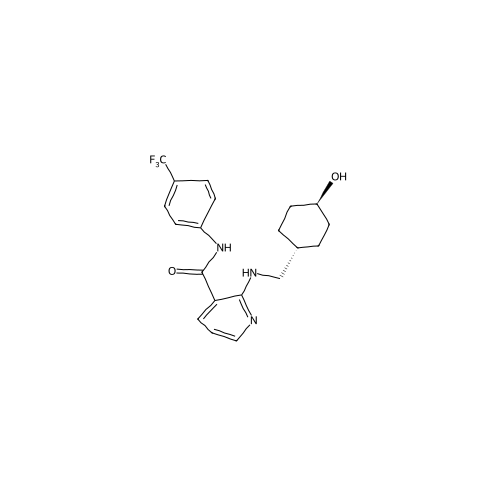 O=C(Nc1ccc(C(F)(F)F)cc1)c1cccnc1NC[C@H]1CC[C@H](O)CC1